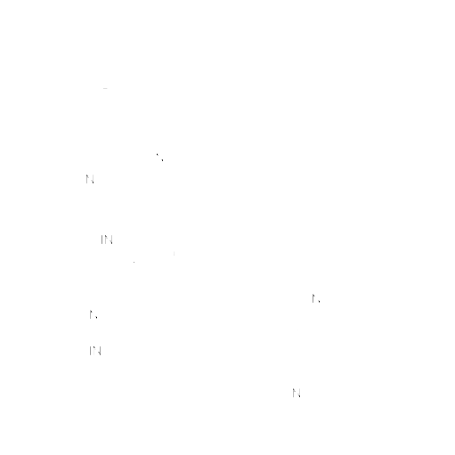 O=C(Nc1cnc(C(F)(F)F)cn1)c1n[nH]c2ccc(-c3cncc(N4CCCCC4)c3)cc12